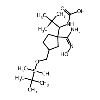 CC(C)(C)C(NC(=O)O)C1(/C(N)=N\O)CCC(CO[Si](C)(C)C(C)(C)C)C1